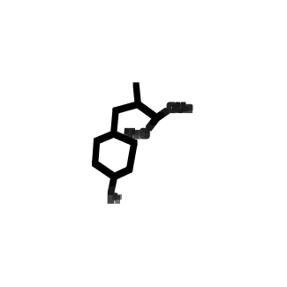 COC(OC)C(C)CC1CCC(C(C)C)CC1